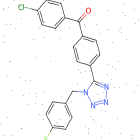 O=C(c1ccc(Cl)cc1)c1ccc(-c2nnnn2Cc2ccc(F)cc2)cc1